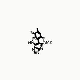 CCC(C)Nc1c(-c2cc(F)c(C)cc2F)c(OC)nc2ncnn12